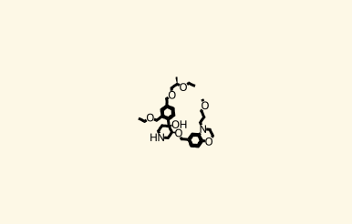 CCOCc1cc(COC[C@@H](C)OCC)ccc1[C@@]1(O)CCNC[C@@H]1OCc1ccc2c(c1)N(CCCOC)CCO2